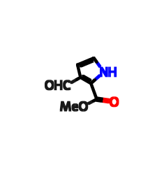 COC(=O)c1[nH]ccc1C=O